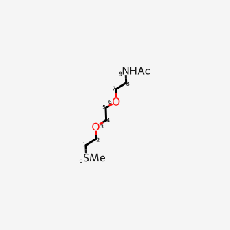 CSCCOCCOCCNC(C)=O